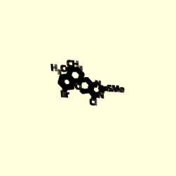 CSc1nc(Cl)c2c(n1)CC1(CCC(C)(C)c3ccc(Br)cc31)OC2